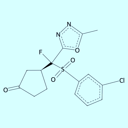 Cc1nnc(C(F)([C@H]2CCC(=O)C2)S(=O)(=O)c2cccc(Cl)c2)o1